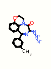 Cc1cccc(C2=NC(N=[N+]=[N-])C(=O)N3CCOc4cccc2c43)c1